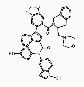 Cn1ccc2cc(N(C(=O)c3cc(-c4cc5c(cc4C(=O)N4Cc6ccccc6C[C@H]4CN4CCOCC4)OCO5)n4ccccc34)c3ccc(O)cc3)ccc21